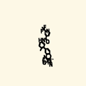 Cc1ccc(NC(=O)c2ccnc(C(C)(F)F)c2)cc1-c1ccc2c(c1)N1CCOC[C@H]1[C@](C)(C#N)C2